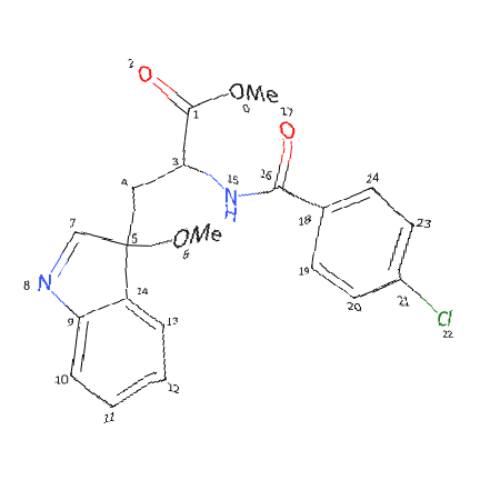 COC(=O)C(CC1(OC)C=Nc2ccccc21)NC(=O)c1ccc(Cl)cc1